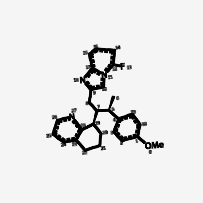 COc1ccc([C@H](C)C(Cc2cn3c(F)cccc3n2)[C@H]2CCCc3cccnc32)cc1